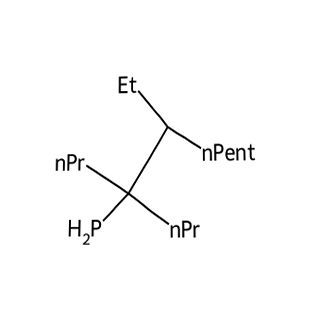 CCCCCC(CC)C(P)(CCC)CCC